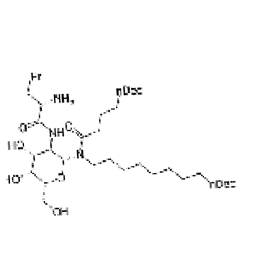 CCCCCCCCCCCCCCCCCCN(C(=O)CCCCCCCCCCCCC)[C@@H]1O[C@H](CO)[C@H](O)[C@H](O)[C@H]1NC(=O)[C@@H](N)CC(C)C